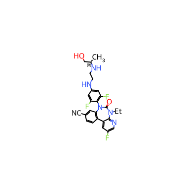 CCN1C(=O)N(c2c(F)cc(NCCN[C@H](C)CO)cc2F)c2cc(C#N)ccc2-c2cc(F)cnc21